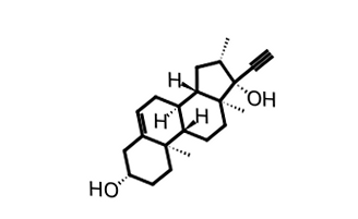 C#C[C@]1(O)[C@@H](C)C[C@H]2[C@@H]3CC=C4C[C@@H](O)CC[C@]4(C)[C@H]3CC[C@@]21C